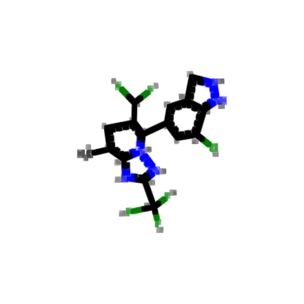 Cc1cc(C(F)F)c(-c2cc(Cl)c3[nH]ncc3c2)n2nc(C(F)(F)F)nc12